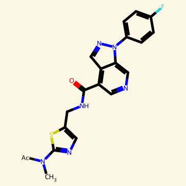 CC(=O)N(C)c1ncc(CNC(=O)c2cncc3c2cnn3-c2ccc(F)cc2)s1